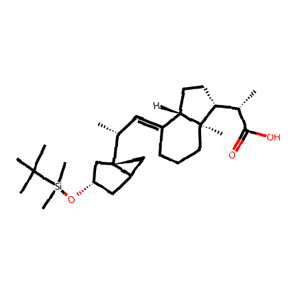 C[C@H](C(=O)O)[C@H]1CC[C@H]2/C(=C/[C@@H](C)[C@]34CC3C[C@H](O[Si](C)(C)C(C)(C)C)C4)CCC[C@]12C